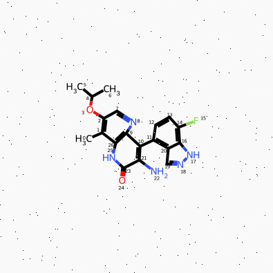 Cc1c(OC(C)C)cnc2c(-c3ccc(F)c4[nH]ncc34)c(N)c(=O)[nH]c12